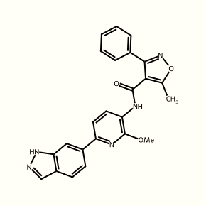 COc1nc(-c2ccc3cn[nH]c3c2)ccc1NC(=O)c1c(-c2ccccc2)noc1C